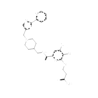 NC(=O)CCNc1nc(C(=O)NCC2CCN(Cc3cnc(-c4ccccn4)s3)CC2)cc(N)c1N